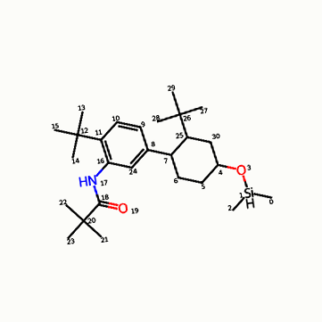 C[SiH](C)OC1CCC(c2ccc(C(C)(C)C)c(NC(=O)C(C)(C)C)c2)C(C(C)(C)C)C1